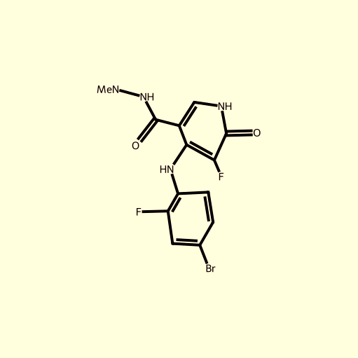 CNNC(=O)c1c[nH]c(=O)c(F)c1Nc1ccc(Br)cc1F